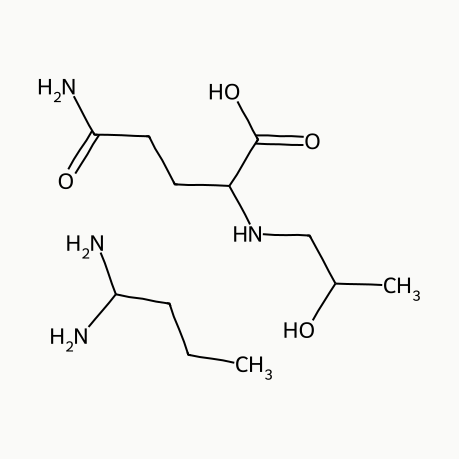 CC(O)CNC(CCC(N)=O)C(=O)O.CCCC(N)N